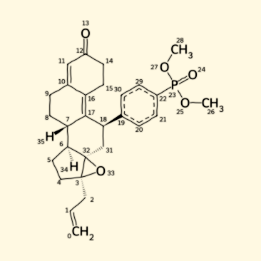 C=CC[C@]12CC[C@H]3[C@@H]4CCC5=CC(=O)CCC5=C4[C@@H](c4ccc(P(=O)(OC)OC)cc4)C[C@@]31O2